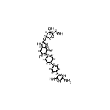 N=c1nc(N)[nH]n1-c1ccc(-c2ccc(-c3c(F)cc4[nH]c(O[C@H]5CO[C@H](CO)[C@@H](O)C5)nc4c3F)cc2)cc1